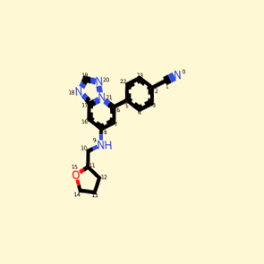 N#Cc1ccc(-c2cc(NCC3CCCO3)cc3ncnn23)cc1